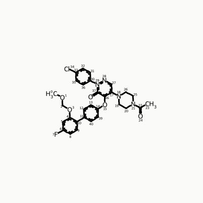 COCOc1cc(F)ccc1-c1ccc(Oc2c(N3CCN(C(C)=O)CC3)cnn(-c3ccc(Cl)cc3)c2=O)cc1